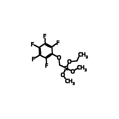 CCO[Si](COc1c(F)c(F)c(F)c(F)c1F)(OC)OC